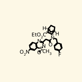 CCOC(=O)[C@@H]1[C@H]2CC[C@H](C2)[C@@H]1N(Cc1ccc(F)cc1)C(=O)CC1=Nc2ccc([N+](=O)[O-])cc2S(C)(=O)=N1